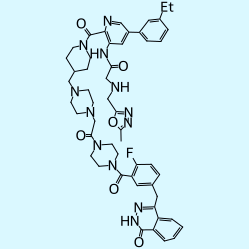 CCc1cccc(-c2cnc(C(=O)N3CCC(CN4CCN(CC(=O)N5CCN(C(=O)c6cc(Cc7n[nH]c(=O)c8ccccc78)ccc6F)CC5)CC4)CC3)c(NC(=O)CNCc3nnc(C)o3)c2)c1